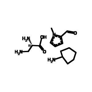 Cn1cccc1C=O.NC1CCCCC1.NC[C@H](N)C(=O)O